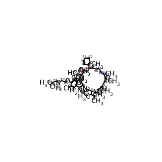 CCC(C)C1C(=O)N(ON)C(Cc2cc(Cl)c(OCCNCC(C)C)c(Cl)c2)C(=O)NC(C(C)(C)O)C(=O)OC(c2ccccc2)C(C)/C=C/C=C(\C)C(OC)CC2OC2(C)C(=O)N1C